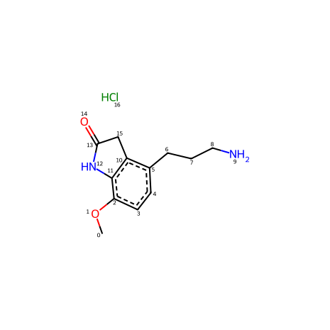 COc1ccc(CCCN)c2c1NC(=O)C2.Cl